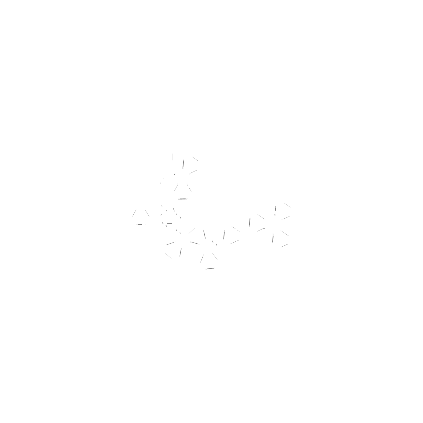 CC1(C)c2ccccc2-c2ccc(-c3nc(-c4ccccc4)nc(-n4c5ccccc5c5c6c7ccccc7n(-c7ccc(-c8ccc9c%10ccccc%10c%10ccccc%10c9c8)cc7)c6ccc54)n3)cc21